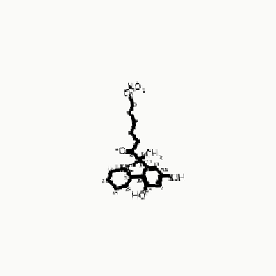 CC(C)(C(=O)CCCCCO[N+](=O)[O-])c1cc(O)cc(O)c1C1CCCCC1